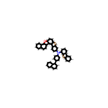 c1ccc2c(-c3ccc(N(c4ccc5c(c4)sc4ccc6oc7c8ccccc8ccc7c6c45)c4cccc5c4sc4ccccc45)cc3)cccc2c1